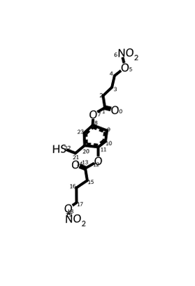 O=C(CCCO[N+](=O)[O-])Oc1ccc(OC(=O)CCCO[N+](=O)[O-])c(CS)c1